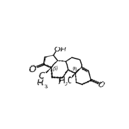 C[C@]12CCC(=O)C=C1CCC1C2CC[C@]2(C)C(=O)CC(O)C12